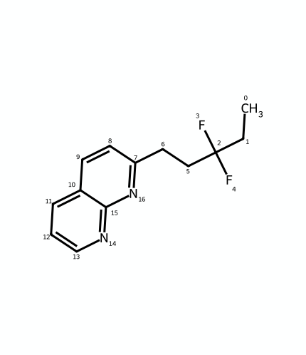 CCC(F)(F)CCc1ccc2cccnc2n1